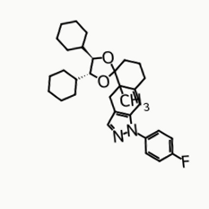 CC12Cc3cnn(-c4ccc(F)cc4)c3C=C1CCCC21O[C@H](C2CCCCC2)[C@@H](C2CCCCC2)O1